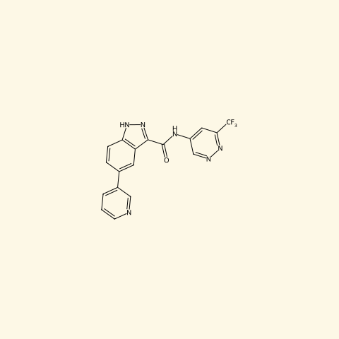 O=C(Nc1cnnc(C(F)(F)F)c1)c1n[nH]c2ccc(-c3cccnc3)cc12